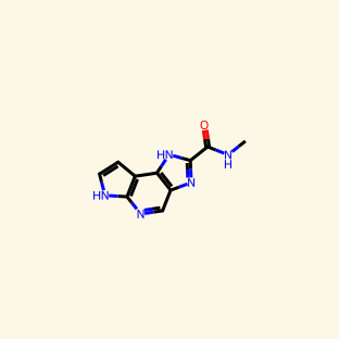 CNC(=O)c1nc2cnc3[nH]ccc3c2[nH]1